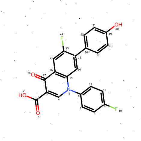 O=C(O)c1cn(-c2ccc(F)cc2)c2cc(-c3ccc(O)cc3)c(F)cc2c1=O